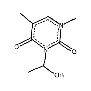 Cc1cn(C)c(=O)n(C(C)O)c1=O